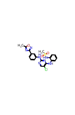 Cc1nc(-c2cccc(Nc3ncc(Cl)c(Nc4ccccc4NS(C)(=O)=O)n3)c2)no1